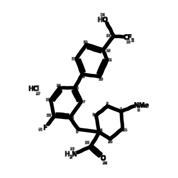 CNC1CCC(Cc2cc(-c3ccc(C(O)C(F)(F)F)cc3)ccc2F)(C(N)=O)CC1.Cl